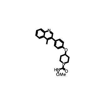 CONC(=O)N1CCC(Oc2ccc(-c3cnc4ccccc4c3C)cc2)CC1